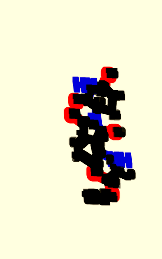 C[C@H](Nc1cccc2c1C(=O)N(C1CCC(=O)NC1=O)C2=O)C(=O)OC(C)(C)C